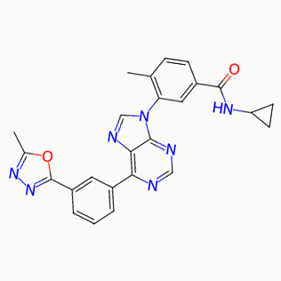 Cc1nnc(-c2cccc(-c3ncnc4c3ncn4-c3cc(C(=O)NC4CC4)ccc3C)c2)o1